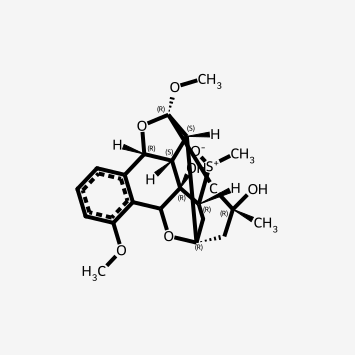 COc1cccc2c1C1O[C@@]34C[C@@H]([S+](C)[O-])[C@@]1(O)[C@@H]1[C@H]2O[C@](OC)(C[C@](C)(O)C3)[C@@H]14